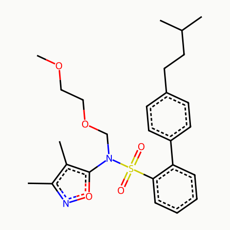 COCCOCN(c1onc(C)c1C)S(=O)(=O)c1ccccc1-c1ccc(CCC(C)C)cc1